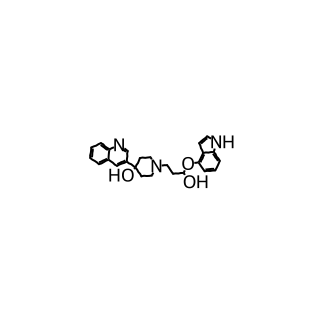 OC(CCN1CCC(O)(c2cnc3ccccc3c2)CC1)Oc1cccc2[nH]ccc12